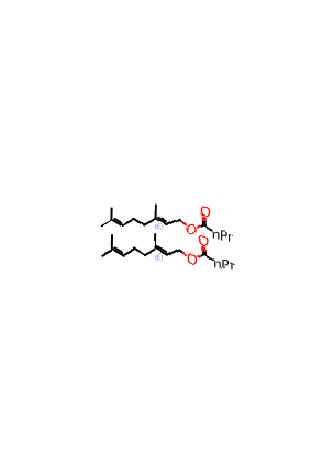 CCCC(=O)OC/C=C(\C)CCC=C(C)C.CCCC(=O)OC/C=C(\C)CCC=C(C)C